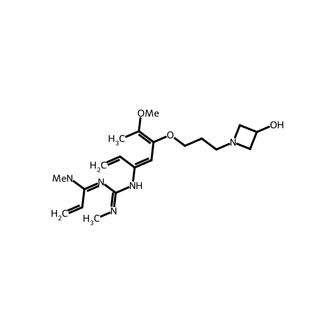 C=C/C(=C\C(OCCCN1CC(O)C1)=C(/C)OC)NC(=N/C)/N=C(\C=C)NC